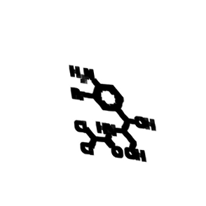 Nc1ccc(C(O)C(CO)NC(=O)C(Cl)Cl)cc1Br